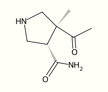 CC(=O)[C@]1(C)CNC[C@H]1C(N)=O